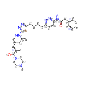 C=C(/C=C(\C)C(=O)N1CCN(C)CC1)CC(=C)Nc1nnc(CCCCc2ccc(NC(=O)CC(/C=C\C)=C/C)nn2)s1